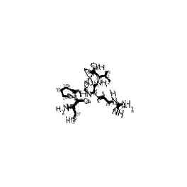 CC(C)[C@H](NC(=O)[C@@H](CCCNC(=N)N)NC(=O)[C@H]1CCCN1C(=O)[C@H](N)CO)C(=O)O